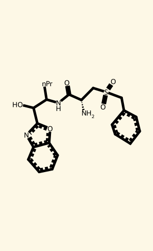 CCCC(NC(=O)[C@@H](N)CS(=O)(=O)Cc1ccccc1)C(O)c1nc2ccccc2o1